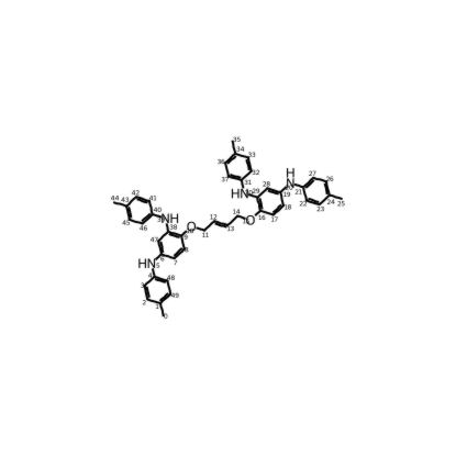 Cc1ccc(Nc2ccc(OCC=CCOc3ccc(Nc4ccc(C)cc4)cc3Nc3ccc(C)cc3)c(Nc3ccc(C)cc3)c2)cc1